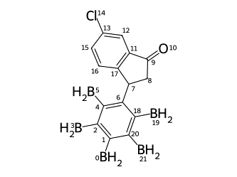 Bc1c(B)c(B)c(C2CC(=O)c3cc(Cl)ccc32)c(B)c1B